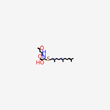 C=C(CCC(=O)NC(CSC/C=C(\C)CC/C=C(\C)CCC=C(C)C)C(=C)O)OC